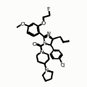 CCCC1N=C(c2ccc(OC)cc2OCCF)N(C(=O)N2CCC(N3CCCC3)CC2)C1c1ccc(Cl)cc1